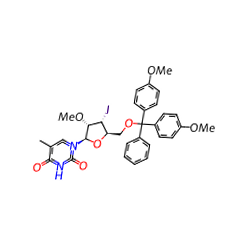 COc1ccc(C(OC[C@H]2O[C@@H](n3cc(C)c(=O)[nH]c3=O)[C@H](OC)[C@@H]2I)(c2ccccc2)c2ccc(OC)cc2)cc1